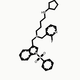 O=S(=O)(c1ccccc1)n1cc(CN(CCCCNC2CCCC2)Cc2cccnc2F)c2ccccc21